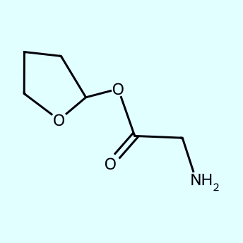 NCC(=O)OC1CCCO1